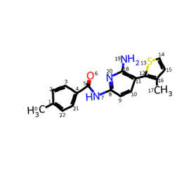 Cc1ccc(C(=O)Nc2ccc(-c3sccc3C)c(N)n2)cc1